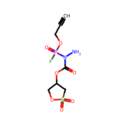 C#CCOP(=O)(F)N(N)C(=O)OC1COS(=O)(=O)C1